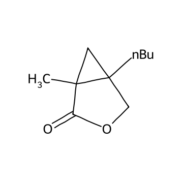 CCCCC12COC(=O)C1(C)C2